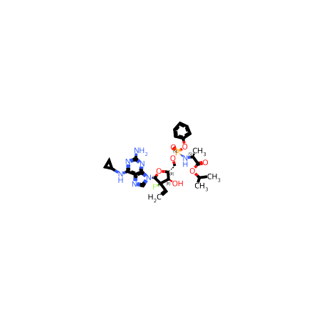 C=C[C@@]1(F)[C@H](O)[C@@H](CO[P@@](=O)(N[C@@H](C)C(=O)OC(C)C)Oc2ccccc2)O[C@H]1n1cnc2c(NC3CC3)nc(N)nc21